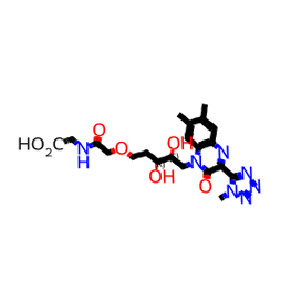 Cc1cc2nc(-c3nnnn3C)c(=O)n(C[C@H](O)[C@H](O)CCOCC(=O)NCC(=O)O)c2cc1C